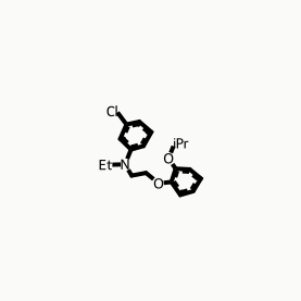 CCN(CCOc1ccccc1OC(C)C)c1cccc(Cl)c1